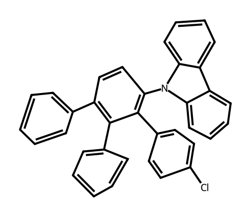 Clc1ccc(-c2c(-n3c4ccccc4c4ccccc43)ccc(-c3ccccc3)c2-c2ccccc2)cc1